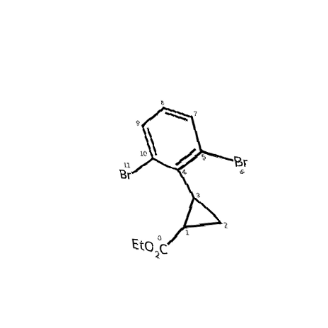 CCOC(=O)C1CC1c1c(Br)cccc1Br